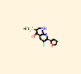 O=C(O)c1c[nH]c2nc(-c3ccco3)c(F)cc2c1=O